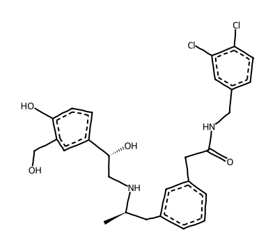 C[C@H](Cc1cccc(CC(=O)NCc2ccc(Cl)c(Cl)c2)c1)NC[C@@H](O)c1ccc(O)c(CO)c1